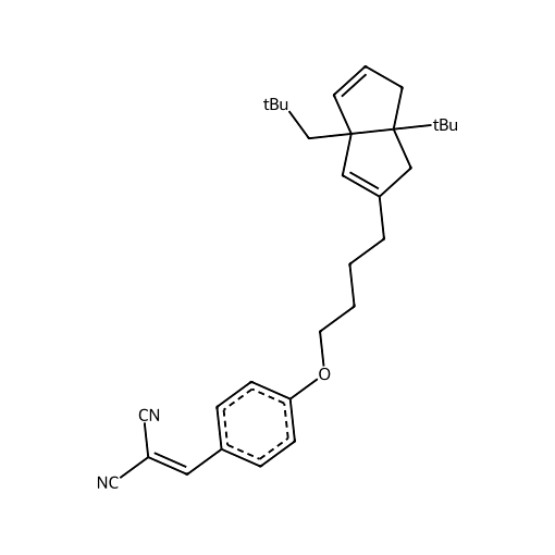 CC(C)(C)CC12C=CCC1(C(C)(C)C)CC(CCCCOc1ccc(C=C(C#N)C#N)cc1)=C2